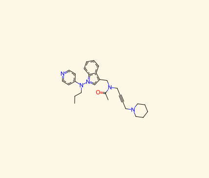 CCCN(c1ccncc1)n1cc(CN(CC#CCN2CCCCC2)C(C)=O)c2ccccc21